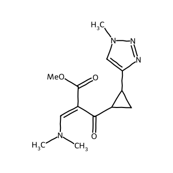 COC(=O)/C(=C/N(C)C)C(=O)C1CC1c1cn(C)nn1